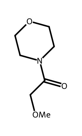 COCC(=O)N1CCOCC1